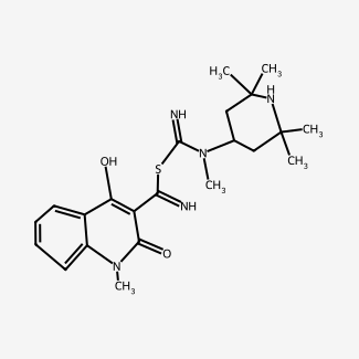 CN(C(=N)SC(=N)c1c(O)c2ccccc2n(C)c1=O)C1CC(C)(C)NC(C)(C)C1